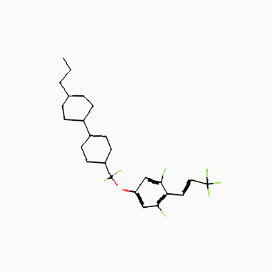 CCCC1CCC(C2CCC(C(F)(F)Oc3cc(F)c(/C=C/C(F)(F)F)c(F)c3)CC2)CC1